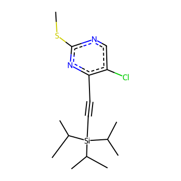 CSc1ncc(Cl)c(C#C[Si](C(C)C)(C(C)C)C(C)C)n1